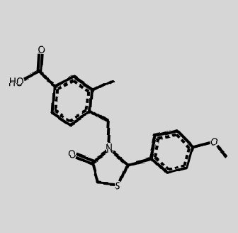 COc1ccc(C2SCC(=O)N2Cc2ccc(C(=O)O)cc2C)cc1